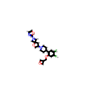 Fc1cc(OCC2COC2)c(C2CCN(C3COC4(C3)CN(c3ncco3)C4)CC2)cc1F